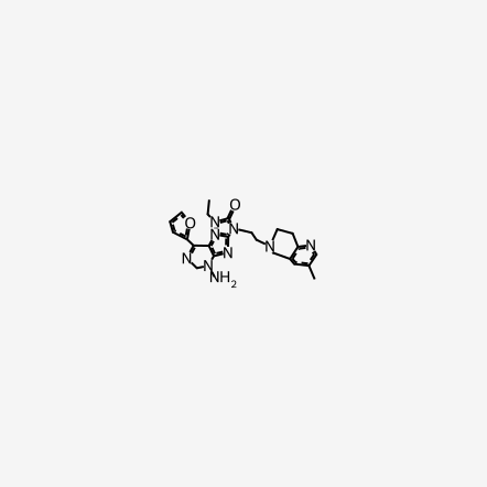 CCn1c(=O)n(CCN2CCc3ncc(C)cc3C2)c2nc3c(n21)C(c1ccco1)=NCN3N